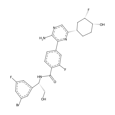 Nc1ncc([C@H]2CC[C@@H](O)[C@@H](F)C2)nc1-c1ccc(C(=O)N[C@H](CO)c2cc(F)cc(Br)c2)c(F)c1